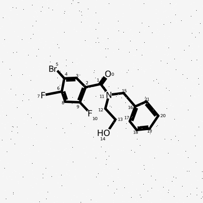 O=C(c1cc(Br)c(F)cc1F)N(CCO)Cc1ccccc1